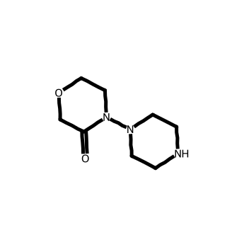 O=C1COCCN1N1CCNCC1